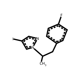 CC(Cc1ccc(F)cc1)n1cc(I)cn1